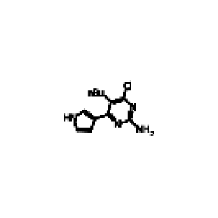 CCCCc1c(Cl)nc(N)nc1-c1cc[nH]c1